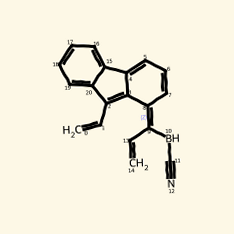 C=CC1=c2c(ccc/c2=C(\BC#N)C=C)-c2ccccc21